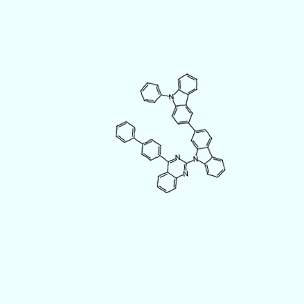 c1ccc(-c2ccc(-c3nc(-n4c5ccccc5c5ccc(-c6ccc7c(c6)c6ccccc6n7-c6ccccc6)cc54)nc4ccccc34)cc2)cc1